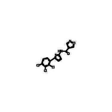 O=C(Nc1ccc(-c2ccc(Cl)c(Cl)c2Cl)s1)c1cnoc1